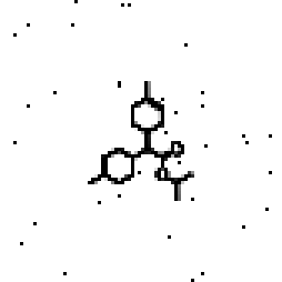 CC1=CCC(C(C(=O)OC(C)C)C2CC=C(C)CC2)CC1